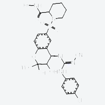 CCNC(=O)C1CCCCN1S(=O)(=O)c1ccc2c(c1)C(N/C(=N\C#N)Nc1ccc(Cl)cc1)C(O)C(C)(C)O2